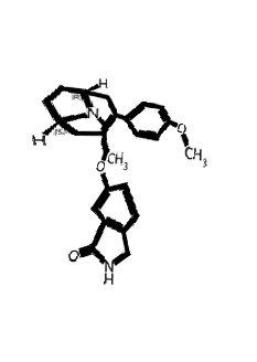 CCCN1[C@@H]2CC[C@H]1CC(COc1ccc3c(c1)C(=O)NC3)=C(c1ccc(OC)cc1)C2